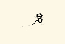 CCOC(=O)CCCc1cc(Br)cc2c1O[C@@H]1CC=C[C@H]21